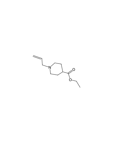 C=CCN1CCC(C(=O)OCC)CC1